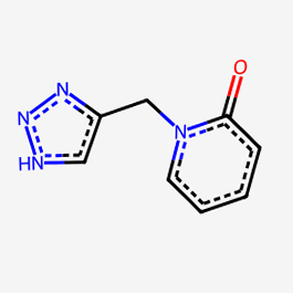 O=c1ccccn1Cc1c[nH]nn1